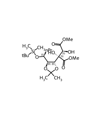 CCC[C@H](O[Si](C)(C)C(C)(C)C)[C@@H]1OC(C)(C)O[C@H]1[C@](O)(C(=O)OC)[C@H](O)C(=O)OC